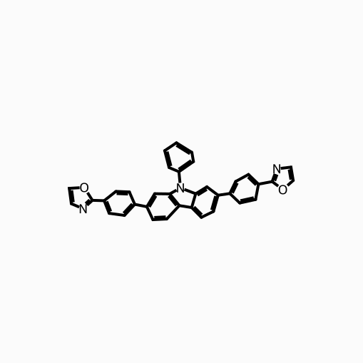 c1ccc(-n2c3cc(-c4ccc(-c5ncco5)cc4)ccc3c3ccc(-c4ccc(-c5ncco5)cc4)cc32)cc1